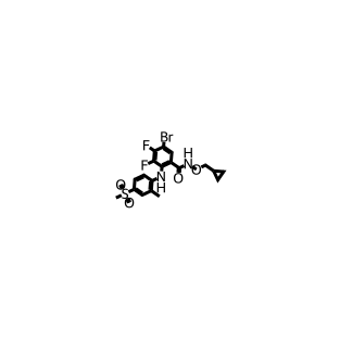 Cc1cc(S(C)(=O)=O)ccc1Nc1c(C(=O)NOCC2CC2)cc(Br)c(F)c1F